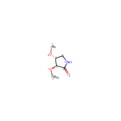 CCCCO[C@@H]1C(=O)NC[C@H]1OCCCC